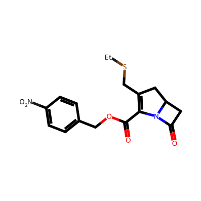 CCSCC1=C(C(=O)OCc2ccc([N+](=O)[O-])cc2)N2C(=O)CC2C1